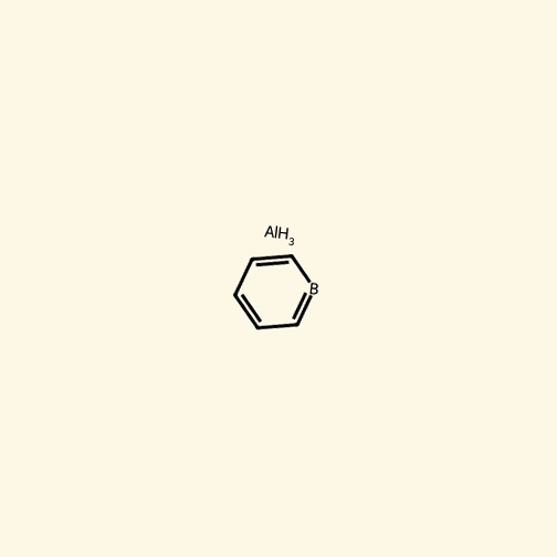 [AlH3].b1ccccc1